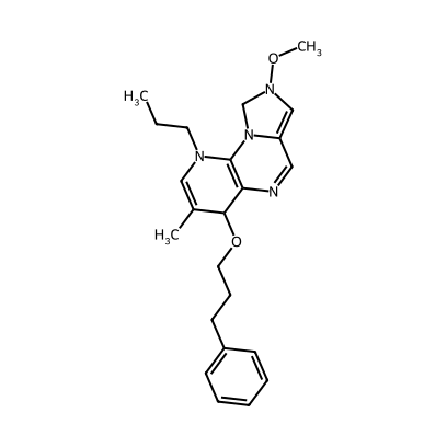 CCCN1C=C(C)C(OCCCc2ccccc2)C2=C1N1CN(OC)C=C1C=N2